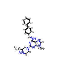 CC1CN(c2nc(NCc3ccc(-c4ccccc4)cc3)c3ncn(C(C)C)c3n2)CCN1